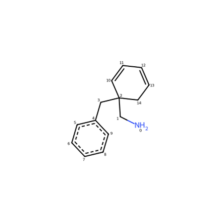 NCC1(Cc2ccccc2)C=CC=CC1